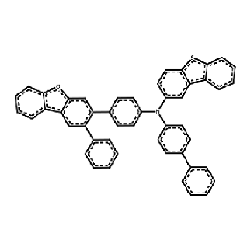 c1ccc(-c2ccc(N(c3ccc(-c4cc5oc6ccccc6c5cc4-c4ccccc4)cc3)c3ccc4sc5ccccc5c4c3)cc2)cc1